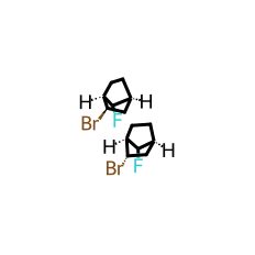 FC1[C@H]2CC[C@@H]1[C@@H](Br)C2.FC1[C@H]2CC[C@@H]1[C@H](Br)C2